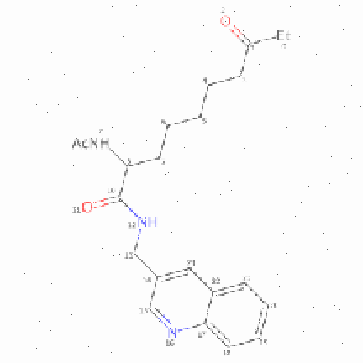 CCC(=O)CCCCCC(NC(C)=O)C(=O)NCc1cnc2ccccc2c1